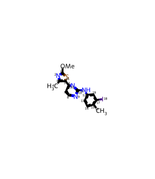 COc1nc(C)c(-c2ccnc(Nc3ccc(C)c(I)c3)n2)s1